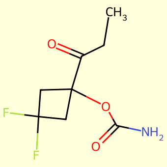 CCC(=O)C1(OC(N)=O)CC(F)(F)C1